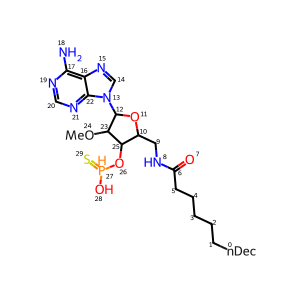 CCCCCCCCCCCCCCCC(=O)NCC1OC(n2cnc3c(N)ncnc32)C(OC)C1O[PH](O)=S